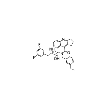 CCc1cccc(CN(C[C@@H](O)[C@@H](N)Cc2cc(F)cc(F)c2)C(=O)c2c3c(nc4ccccc24)CCC3)c1